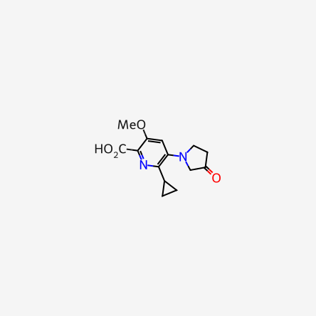 COc1cc(N2CCC(=O)C2)c(C2CC2)nc1C(=O)O